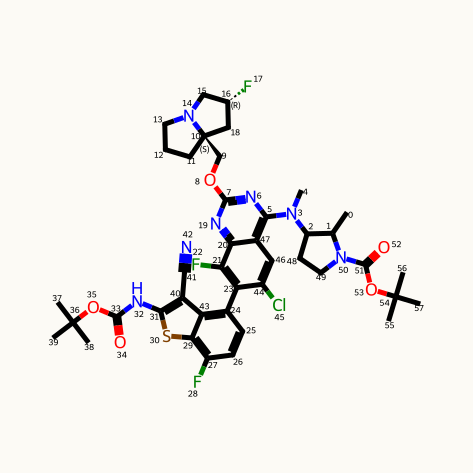 CC1C(N(C)c2nc(OC[C@@]34CCCN3C[C@H](F)C4)nc3c(F)c(-c4ccc(F)c5sc(NC(=O)OC(C)(C)C)c(C#N)c45)c(Cl)cc23)CCN1C(=O)OC(C)(C)C